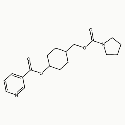 O=C(OC1CCC(COC(=O)N2CCCC2)CC1)c1cccnc1